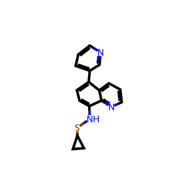 c1cncc(-c2ccc(NSC3CC3)c3ncccc23)c1